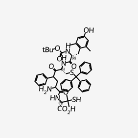 Cc1cc(O)cc(C)c1C[C@@H](NC(=O)OC(C)(C)C)C(=O)N[C@H](CSC(c1ccccc1)(c1ccccc1)c1ccccc1)C(=O)C(CC(N)C(=O)N[C@@H](C(=O)O)C(C)(C)S)c1ccccc1